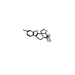 CC(C)(C)C1OCCC12c1oc3cc(I)ccc3c1CCN2C(=O)O